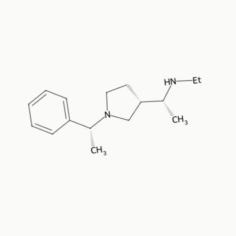 CCN[C@H](C)[C@H]1CCN([C@H](C)c2ccccc2)C1